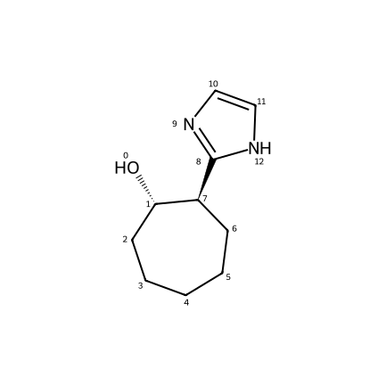 O[C@H]1CCCCC[C@@H]1c1ncc[nH]1